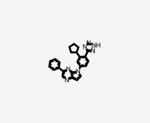 c1ccc(-c2cnc3ccn(-c4ccc(-c5nn[nH]n5)c(C5CCCC5)c4)c3n2)cc1